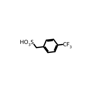 O=S(=O)(O)Cc1ccc(C(F)(F)F)cc1